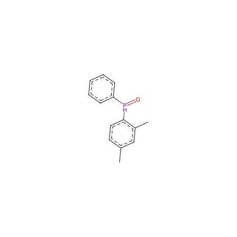 Cc1ccc([PH](=O)c2ccccc2)c(C)c1